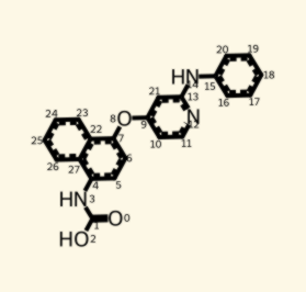 O=C(O)Nc1ccc(Oc2ccnc(Nc3ccccc3)c2)c2ccccc12